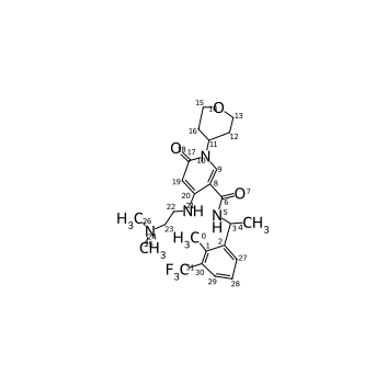 Cc1c(C(C)NC(=O)c2cn(C3CCOCC3)c(=O)cc2NCCN(C)C)cccc1C(F)(F)F